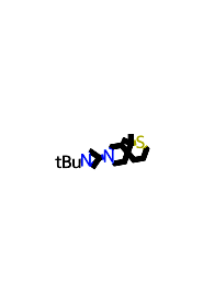 CC(C)(C)N1CC(N2CCC3(CCCSC3(C)C)CC2)C1